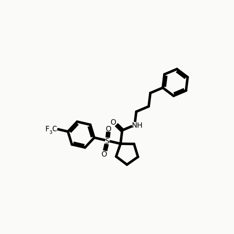 O=C(NCCCc1ccccc1)C1(S(=O)(=O)c2ccc(C(F)(F)F)cc2)CCCC1